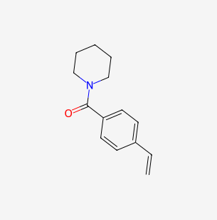 C=Cc1ccc(C(=O)N2CCCCC2)cc1